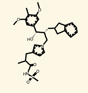 COc1cc([C@@H](O)[C@H](CC2Cc3ccccc3C2)Cn2ccc(CC(C)C(=O)NS(C)(=O)=O)c2)cc(OC)c1C